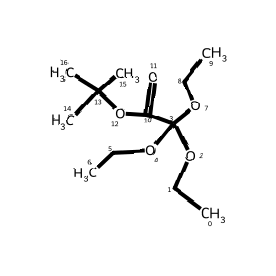 CCOC(OCC)(OCC)C(=O)OC(C)(C)C